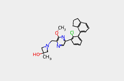 COc1nc(-c2cccc(-c3cccc4c3CCC4)c2Cl)cnc1CN1CC(C)(O)C1